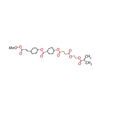 C=C(C)C(=O)OCCOC(=O)CCC(=O)Oc1ccc(C(=O)Oc2ccc(/C=C/C(=O)OOC)cc2)cc1